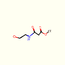 CCOC(=O)CC(=O)NCC[O]